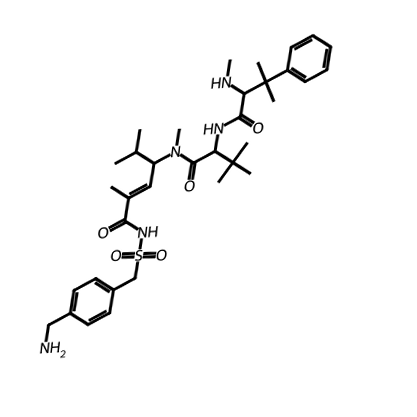 CNC(C(=O)NC(C(=O)N(C)C(C=C(C)C(=O)NS(=O)(=O)Cc1ccc(CN)cc1)C(C)C)C(C)(C)C)C(C)(C)c1ccccc1